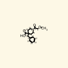 COCC(=O)N1CCC(Cc2ccccc2)(C(=O)O)CC1